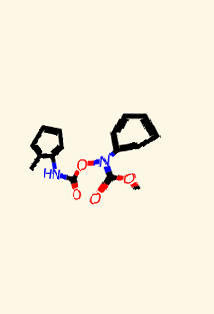 COC(=O)N(OC(=O)Nc1ccccc1C)c1ccccc1